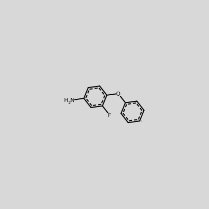 Nc1ccc(Oc2cc[c]cc2)c(F)c1